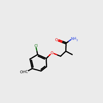 CC(COc1ccc(C=O)cc1Cl)C(N)=O